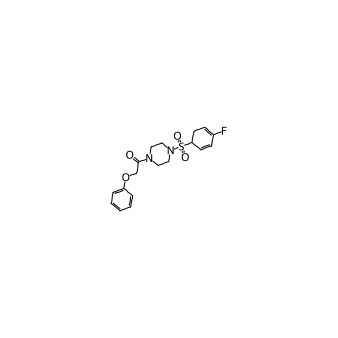 O=C(COc1ccccc1)N1CCN(S(=O)(=O)C2C=CC(F)=CC2)CC1